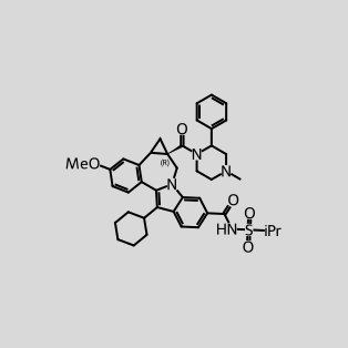 COc1ccc2c(c1)C1C[C@]1(C(=O)N1CCN(C)CC1c1ccccc1)Cn1c-2c(C2CCCCC2)c2ccc(C(=O)NS(=O)(=O)C(C)C)cc21